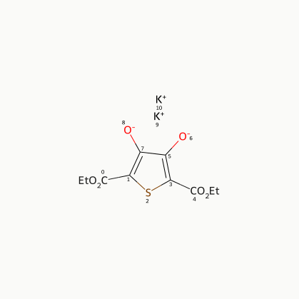 CCOC(=O)c1sc(C(=O)OCC)c([O-])c1[O-].[K+].[K+]